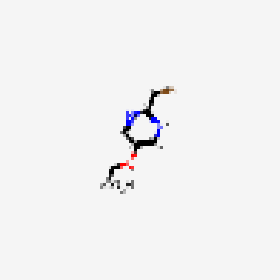 O=C(O)COc1cnc(CBr)nc1